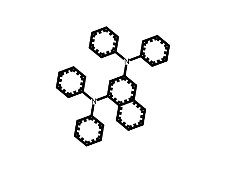 c1ccc(N(c2ccccc2)c2cc(N(c3ccccc3)c3ccccc3)c3ccccc3c2)cc1